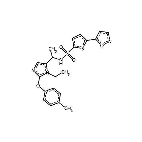 CCn1c(C(C)NS(=O)(=O)c2ccc(-c3ccno3)s2)cnc1Oc1ccc(C)cc1